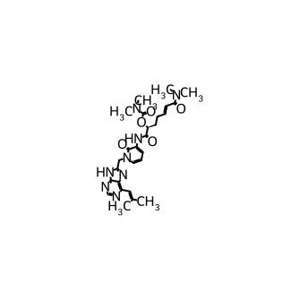 CC(C)=Cc1ncnc2[nH]c(Cn3cccc(NC(=O)[C@H](CC/C=C/C(=O)N(C)C)OC(=O)N(C)C)c3=O)nc12